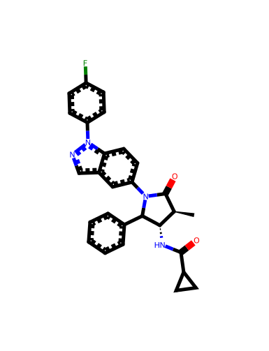 C[C@@H]1C(=O)N(c2ccc3c(cnn3-c3ccc(F)cc3)c2)C(c2ccccc2)[C@H]1NC(=O)C1CC1